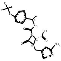 C[C@@H](NC(=O)N1C(=O)[C@H](Cc2ccnc(N)c2)[C@H]1C(=O)O)c1ccc(OC(F)(F)F)cc1